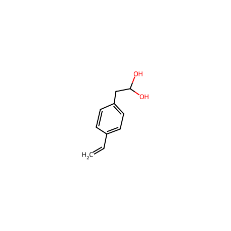 C=Cc1ccc(CC(O)O)cc1